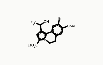 CCOC(=O)c1cc(C(O)C(F)(F)F)c2n1CCc1cc(OC)c(Br)cc1-2